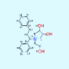 OCC[N+](CCO)(CCO)C(CCc1ccccc1)c1ccccc1